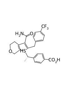 C[C@@H](c1ccc(C(=O)O)cc1)[SH]1C2=C(CCOC2)C(C(N)=O)=C1Cc1ccc(C(F)(F)F)cc1